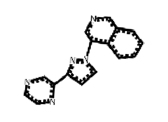 c1ccc2c(-n3ccc(-c4cnccn4)n3)cncc2c1